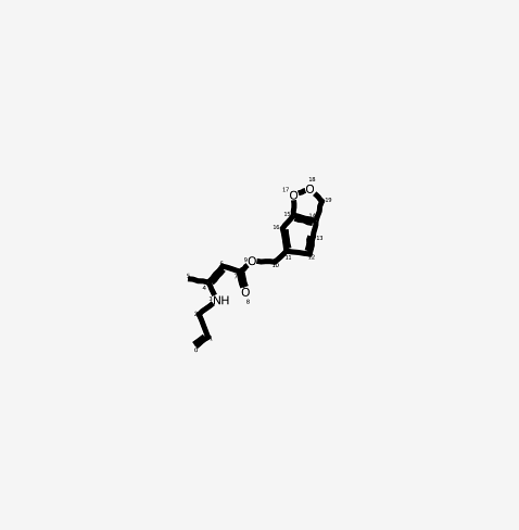 C=CCN/C(C)=C\C(=O)OCc1ccc2c(c1)OOC2